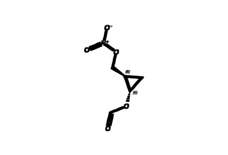 O=CO[C@H]1C[C@@H]1CO[N+](=O)[O-]